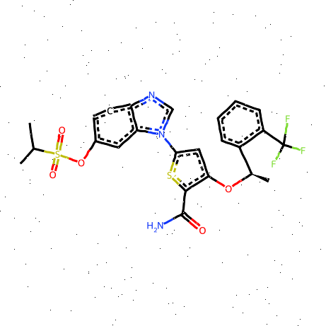 CC(C)S(=O)(=O)Oc1ccc2ncn(-c3cc(O[C@H](C)c4ccccc4C(F)(F)F)c(C(N)=O)s3)c2c1